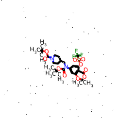 CC(C)(C)OC(=O)N1CCC(CN(C(=O)OC(C)(C)C)c2cc3c(c(OS(=O)(=O)C(F)(F)F)c2)C(=O)OC(C)(C)O3)CC1